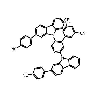 N#Cc1ccc(-c2ccc3c4ccccc4n(-c4cc(-c5cc(C#N)cc(C(F)(F)F)c5)c(-n5c6ccccc6c6ccc(-c7ccc(C#N)cc7)cc65)cn4)c3c2)cc1